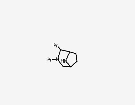 CC(C)C1C2CCC(CN1C(C)C)N2